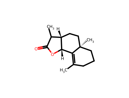 CC1=C2[C@@H]3OC(=O)C(C)[C@@H]3CC[C@@]2(C)CCC1